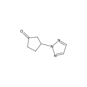 O=C1CCC(n2nccn2)C1